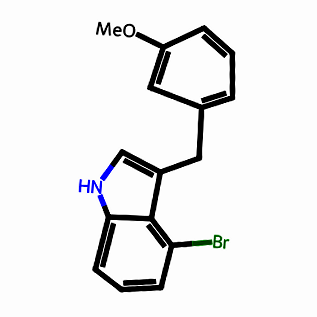 COc1cccc(Cc2c[nH]c3cccc(Br)c23)c1